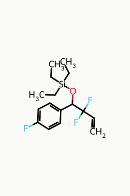 C=CC(F)(F)C(O[Si](CC)(CC)CC)c1ccc(F)cc1